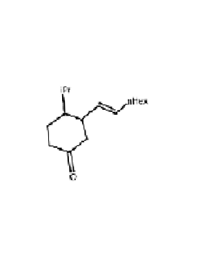 CCCCCCC=CC1CC(=O)CCC1C(C)C